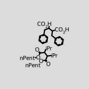 CCCCCOC(=O)C(C(C)C)C(C(=O)OCCCCC)C(C)C.O=C(O)C(Cc1ccccc1)C(Cc1ccccc1)C(=O)O